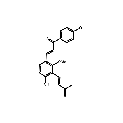 C=C(C)C=Cc1c(O)ccc(C=CC(=O)c2ccc(O)cc2)c1OC